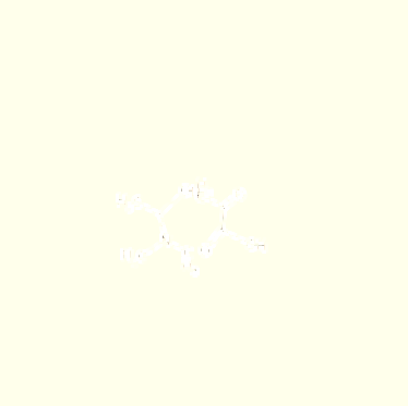 CC(=O)C(=O)O.CC(O)N(C)C